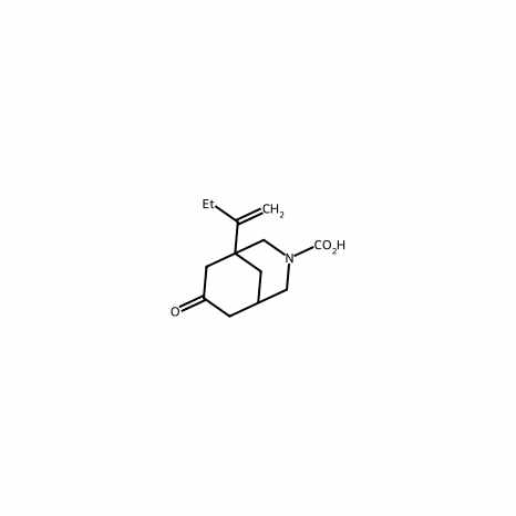 C=C(CC)C12CC(=O)CC(CN(C(=O)O)C1)C2